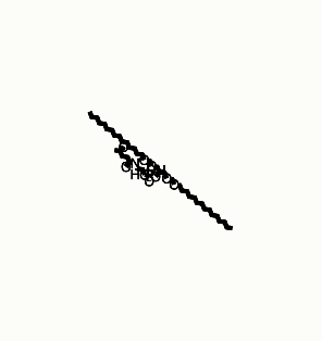 CCCCCCCCCCCCCCCOCOCC(COCOCCCCCCCCCCCCCCC)OP(=O)(O)OCCNC(=O)CCC(C)=O